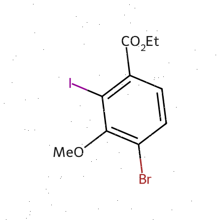 CCOC(=O)c1ccc(Br)c(OC)c1I